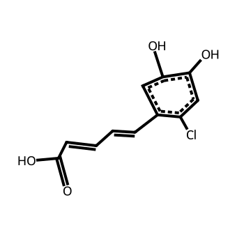 O=C(O)C=CC=Cc1cc(O)c(O)cc1Cl